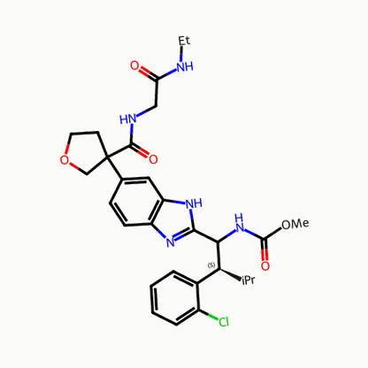 CCNC(=O)CNC(=O)C1(c2ccc3nc(C(NC(=O)OC)[C@H](c4ccccc4Cl)C(C)C)[nH]c3c2)CCOC1